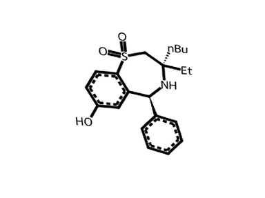 CCCC[C@@]1(CC)CS(=O)(=O)c2ccc(O)cc2[C@H](c2ccccc2)N1